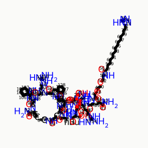 CCCC[C@H](NC(=O)[C@H](CO)NC(=O)[C@H](Cc1c[nH]cn1)NC(=O)[C@H](CO)NC(=O)[C@H](CCCNC(=N)N)NC(=O)[C@H](CCC(N)=O)NC(=O)COCCOCCNC(=O)CCCCCCCCCCCCCCCc1nnn[nH]1)C(=O)N[C@H]1CCC(=O)NCCCC[C@@H](C(N)=O)NC(=O)[C@H](Cc2c[nH]c3ccccc23)NC(=O)[C@H](CCCNC(=N)N)NC(=O)[C@@H](Cc2ccccc2)NC(=O)[C@@H]2C[C@@H](O)CN2C1=O